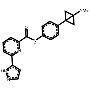 CNC12CC1(c1ccc(NC(=O)c3cccc(-c4ccn[nH]4)n3)cc1)C2